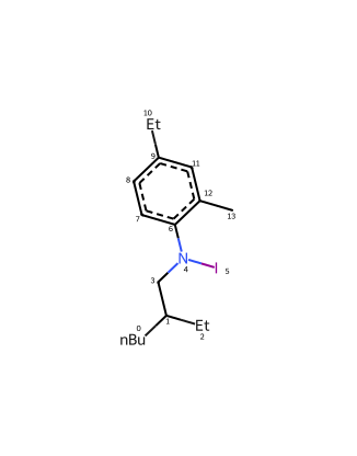 CCCCC(CC)CN(I)c1ccc(CC)cc1C